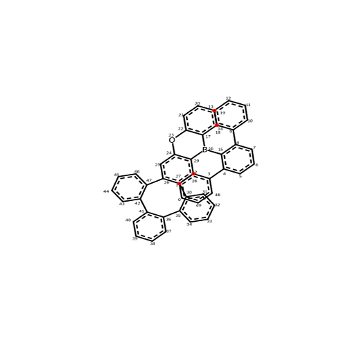 c1ccc(-c2cccc(-c3ccccc3)c2B2c3ccccc3Oc3cc4c(cc32)-c2ccccc2-c2ccccc2-c2ccccc2-4)cc1